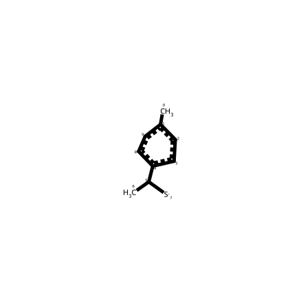 Cc1ccc(C(C)[S])cc1